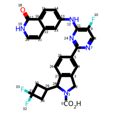 O=C(O)N1Cc2cc(-c3ncc(F)c(Nc4ccc5c(=O)[nH]ccc5c4)n3)ccc2C1C1CC(F)(F)C1